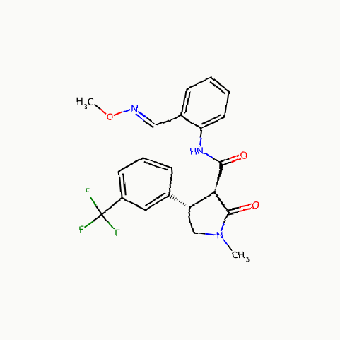 CO/N=C/c1ccccc1NC(=O)[C@H]1C(=O)N(C)C[C@@H]1c1cccc(C(F)(F)F)c1